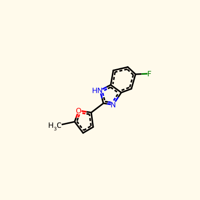 Cc1ccc(-c2nc3cc(F)ccc3[nH]2)o1